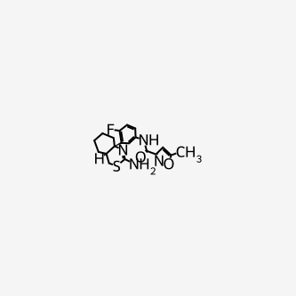 Cc1cc(C(=O)Nc2ccc(F)c([C@]34CCCC[C@H]3CSC(N)=N4)c2)no1